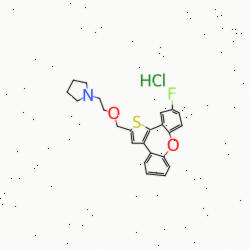 Cl.Fc1ccc2c(c1)-c1sc(COCCN3CCCC3)cc1-c1ccccc1O2